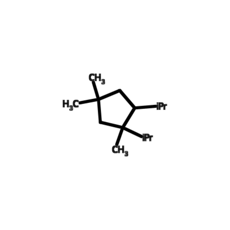 CC(C)C1CC(C)(C)CC1(C)C(C)C